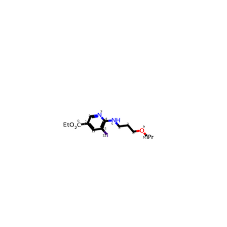 CCOC(=O)c1cnc(NCCCOC(C)C)c(I)c1